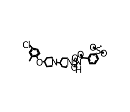 Cc1cc(Cl)ccc1OC1CCN(C2CCN(S(=O)(=O)NC(=O)c3cccc(S(C)(=O)=O)c3)CC2)CC1